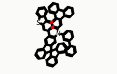 c1ccc(-c2cccc(N(c3ccc4c5ccccc5c5ccccc5c4c3)c3cc4c(cc3-c3ccc5c(c3)sc3ccccc35)-c3ccccc3C43c4ccccc4-c4ccccc43)c2)cc1